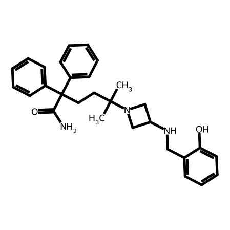 CC(C)(CCC(C(N)=O)(c1ccccc1)c1ccccc1)N1CC(NCc2ccccc2O)C1